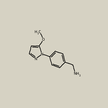 COc1ccnn1-c1ccc(CN)cc1